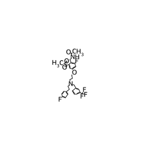 CC(=O)NCc1c(F)cc(OCCCN(CCc2ccc(F)cc2)Cc2cccc(C(F)(F)F)c2)cc1S(C)(=O)=O